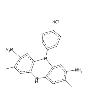 Cc1cc2c(cc1N)N(c1ccccc1)c1cc(N)c(C)cc1N2.Cl